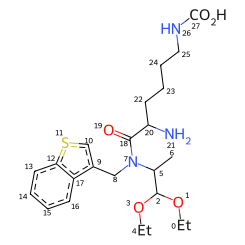 CCOC(OCC)C(C)N(Cc1csc2ccccc12)C(=O)C(N)CCCCNC(=O)O